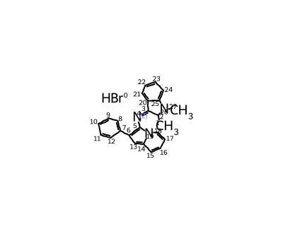 Br.CC1/C(=N\c2c(-c3ccccc3)cc3ccccn23)c2ccccc2N1C